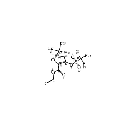 CCOC(=O)C1=C(OS(=O)(=O)C(F)(F)F)C[C@](C)(C(F)(F)F)O1